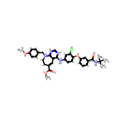 COC(=O)C1=Cc2c(Nc3ccc(Oc4cccc(C(=O)NC(C)(C)C)c4)c(Cl)c3)ncnc2N(Cc2ccc(OC)cc2)CC1